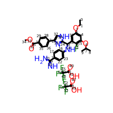 CCOc1cc(OC(C)C)c(F)c(C(Nc2ccc(C(=N)N)cc2)c2nc(-c3ccc(C(=O)OC)cc3)c[nH]2)c1.O=C(O)C(F)(F)F.O=C(O)C(F)(F)F